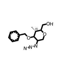 C[C@@H]1C(CO)OCC(N=[N+]=[N-])C1OCc1ccccc1